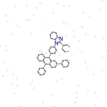 C/C=C\C(=C/C)c1nc2ccccc2n1-c1ccc(-c2c3ccccc3c(-c3ccccc3)c3ccc(-c4ccccc4)cc23)cc1